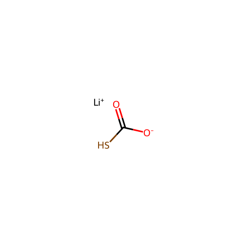 O=C([O-])S.[Li+]